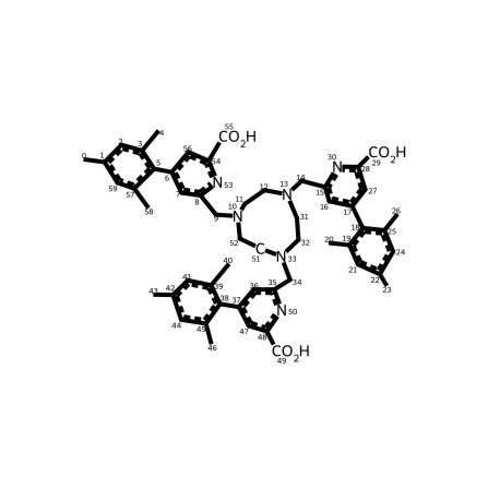 Cc1cc(C)c(-c2cc(CN3CCN(Cc4cc(-c5c(C)cc(C)cc5C)cc(C(=O)O)n4)CCN(Cc4cc(-c5c(C)cc(C)cc5C)cc(C(=O)O)n4)CC3)nc(C(=O)O)c2)c(C)c1